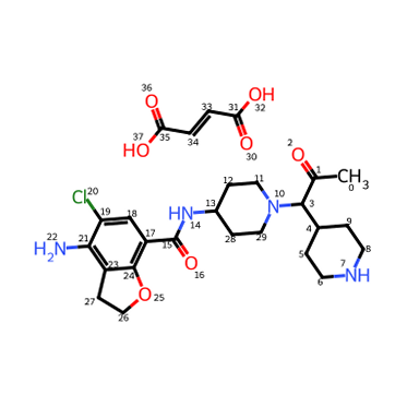 CC(=O)C(C1CCNCC1)N1CCC(NC(=O)c2cc(Cl)c(N)c3c2OCC3)CC1.O=C(O)C=CC(=O)O